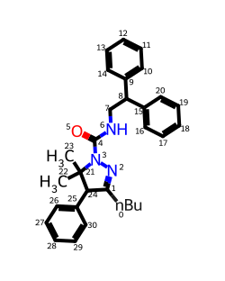 CCCCC1=NN(C(=O)NCC(c2ccccc2)c2ccccc2)C(C)(C)C1c1ccccc1